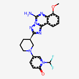 COc1cccc2c1nc(N)n1nc([C@@H]3CCCN(c4ccc(=O)n(C(F)F)c4)C3)nc21